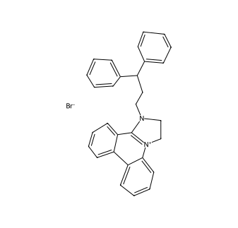 [Br-].c1ccc(C(CCN2CC[n+]3c2c2ccccc2c2ccccc23)c2ccccc2)cc1